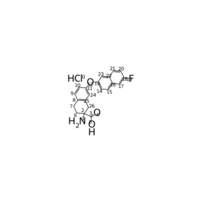 Cl.NC1(C(=O)O)CCc2ccc(Oc3ccc4cc(F)ccc4c3)cc2C1